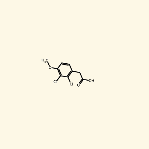 COc1ccc(CC(=O)O)c(Cl)c1Cl